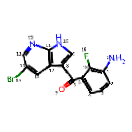 Nc1cccc(C(=O)c2c[nH]c3ncc(Br)cc23)c1F